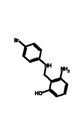 Nc1cccc(O)c1CNc1ccc(Br)cc1